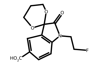 O=C(O)c1ccc2c(c1)C1(OCCCO1)C(=O)N2CCF